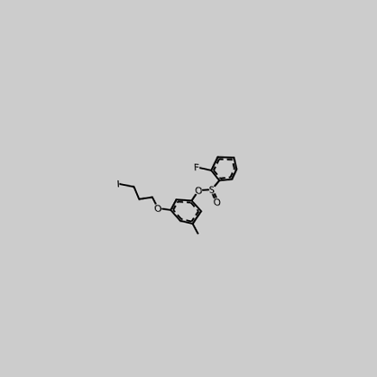 Cc1cc(OCCCI)cc(OS(=O)c2ccccc2F)c1